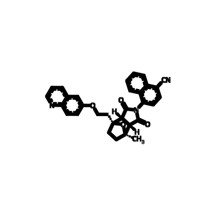 C[C@]12CC[C@](CCOc3ccc4ncccc4c3)(O1)[C@@H]1C(=O)N(c3ccc(C#N)c4ccccc34)C(=O)[C@@H]12